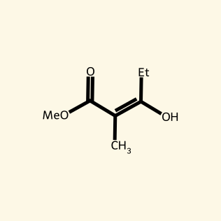 CCC(O)=C(C)C(=O)OC